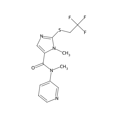 CN(C(=O)c1cnc(SCC(F)(F)F)n1C)c1cccnc1